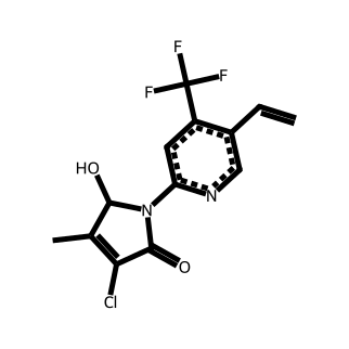 C=Cc1cnc(N2C(=O)C(Cl)=C(C)C2O)cc1C(F)(F)F